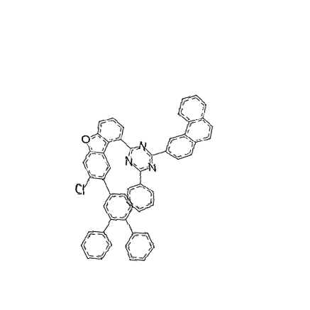 Clc1cc2oc3cccc(-c4nc(-c5ccccc5)nc(-c5ccc6ccc7ccccc7c6c5)n4)c3c2cc1-c1ccc(-c2ccccc2)c(-c2ccccc2)c1